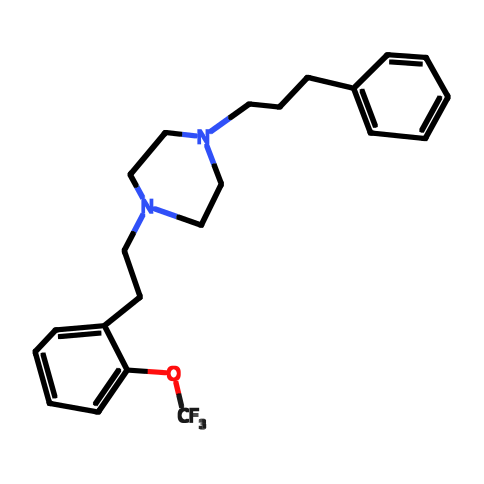 FC(F)(F)Oc1ccccc1CCN1CCN(CCCc2ccccc2)CC1